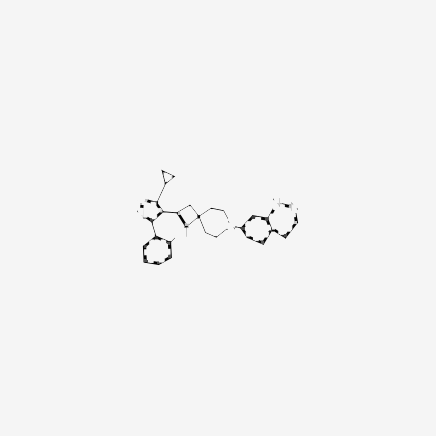 FC(F)(F)c1ccccc1-c1noc(C2CC2)c1C1=CC2(CCN(c3ccc4ccnnc4c3)CC2)C1